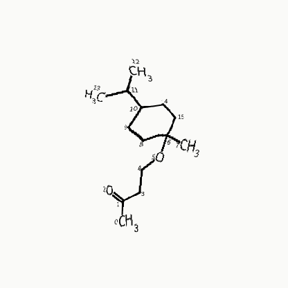 CC(=O)CCOC1(C)CCC(C(C)C)CC1